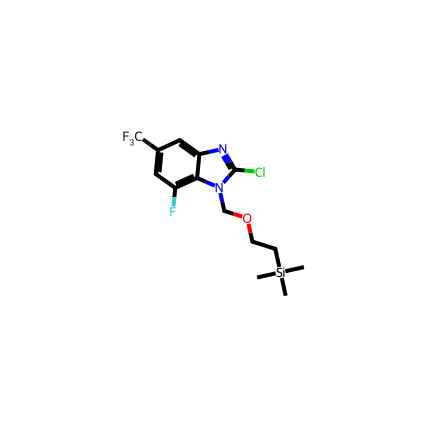 C[Si](C)(C)CCOCn1c(Cl)nc2cc(C(F)(F)F)cc(F)c21